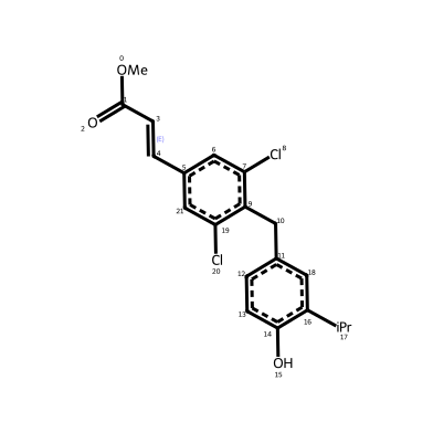 COC(=O)/C=C/c1cc(Cl)c(Cc2ccc(O)c(C(C)C)c2)c(Cl)c1